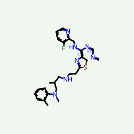 C=N/C=N\C(NCc1ncccc1F)=C1/CSC(CCNCC(C)CN(C)c2ccccc2C)=N1